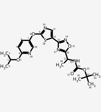 CC(C)Oc1ccc(Oc2ncc(-c3noc(C(C)NC(=O)OC(C)(C)C)n3)s2)cn1